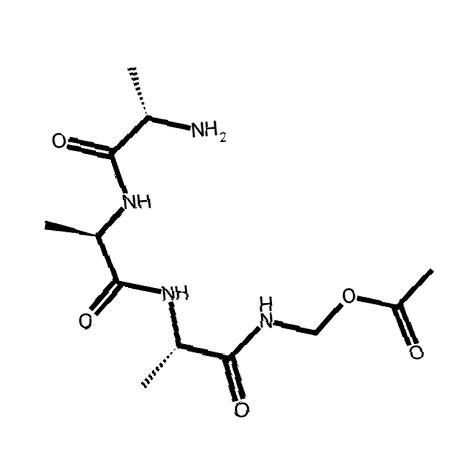 CC(=O)OCNC(=O)[C@H](C)NC(=O)[C@@H](C)NC(=O)[C@H](C)N